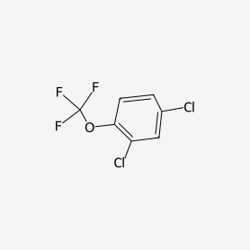 FC(F)(F)Oc1ccc(Cl)cc1Cl